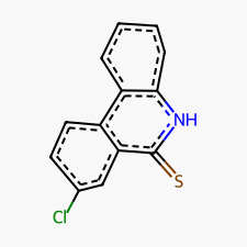 S=c1[nH]c2ccccc2c2ccc(Cl)cc12